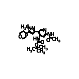 CC(=O)Nc1cc(NC(=O)OC(C)(C)C)c(-c2cc(N3CCOCC3)n(C)n2)cn1